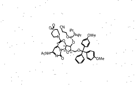 COc1ccc(C(OC[C@H]2O[C@@H](n3ccc(NC(C)=O)nc3=O)[C@@H](OC(=S)N3CCS(=O)(=O)CC3)C2OP(OCCC#N)N(C(C)C)C(C)C)(c2ccccc2)c2ccc(OC)cc2)cc1